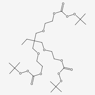 CCC(COCCOC(=O)OOC(C)(C)C)(COCCOC(=O)OOC(C)(C)C)COCCOC(=O)OOC(C)(C)C